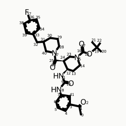 CC(=O)c1cccc(NC(=O)N[C@@H]2CCN(C(=O)OC(C)(C)C)C[C@@H]2C(=O)N2CCCC(Cc3ccc(F)cc3)C2)c1